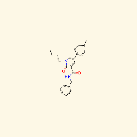 CCCCn1cc(-c2ccc(C)cc2)cc(C(=O)NCc2ccccc2)c1=O